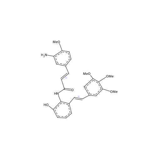 COc1ccc(/C=C/C(=O)Nc2c(O)cccc2/C=C/c2cc(OC)c(OC)c(OC)c2)cc1N